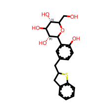 OCC1OC(c2cc(CC3Cc4ccccc4S3)ccc2O)[C@H](O)C(O)[C@@H]1O